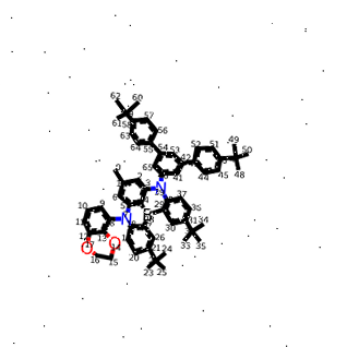 Cc1cc2c3c(c1)N(c1cccc4c1OCCO4)c1ccc(C(C)(C)C)cc1B3c1cc(C(C)(C)C)ccc1N2c1cc(-c2ccc(C(C)(C)C)cc2)cc(-c2ccc(C(C)(C)C)cc2)c1